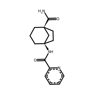 NC(=O)[C@@]12CCC[C@@](NC(=O)c3ccccn3)(CC1)C2